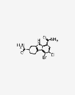 NC(=O)c1cc(Cl)c(Br)c2c3c([nH]c12)CC(C(N)=O)CC3